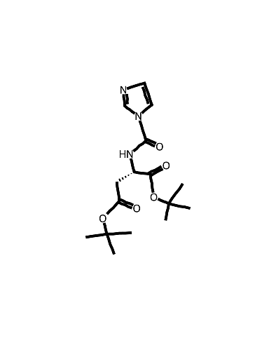 CC(C)(C)OC(=O)C[C@H](NC(=O)n1ccnc1)C(=O)OC(C)(C)C